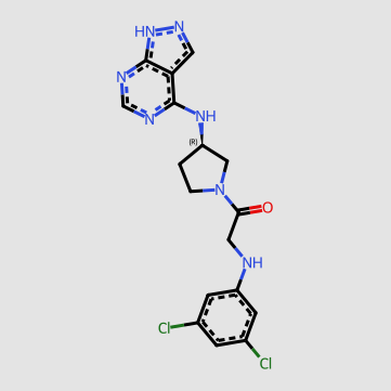 O=C(CNc1cc(Cl)cc(Cl)c1)N1CC[C@@H](Nc2ncnc3[nH]ncc23)C1